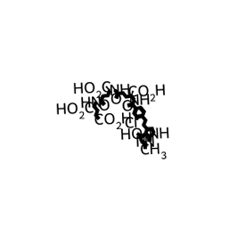 Cc1nc(O)c2c(CCc3ccc(C(=O)N[C@@H](CCC(=O)N[C@@H](CCC(=O)N[C@@H](CCC(=O)O)C(=O)O)C(=O)O)C(=O)O)cc3Cl)c[nH]c2n1